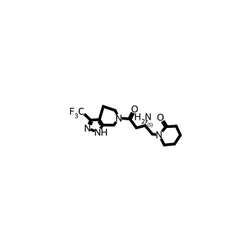 N[C@@H](CC(=O)N1CCc2c(C(F)(F)F)n[nH]c2C1)CN1CCCCC1=O